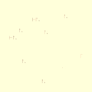 COc1cncc(-c2cc3c(-c4nc5c(-c6ccc(F)cc6)nccc5[nH]4)n[nH]c3cn2)c1